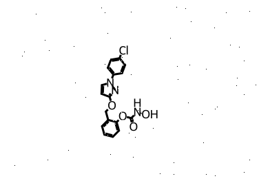 O=C(NO)Oc1ccccc1COc1ccn(-c2ccc(Cl)cc2)n1